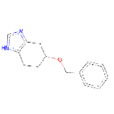 c1ccc(COC2CCc3[nH]cnc3C2)cc1